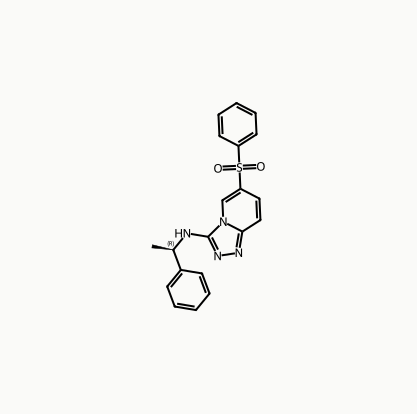 C[C@@H](Nc1nnc2ccc(S(=O)(=O)c3ccccc3)cn12)c1ccccc1